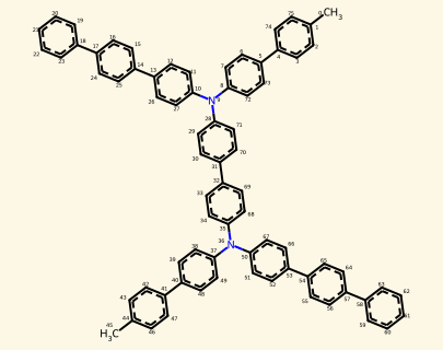 Cc1ccc(-c2ccc(N(c3ccc(-c4ccc(-c5ccccc5)cc4)cc3)c3ccc(-c4ccc(N(c5ccc(-c6ccc(C)cc6)cc5)c5ccc(-c6ccc(-c7ccccc7)cc6)cc5)cc4)cc3)cc2)cc1